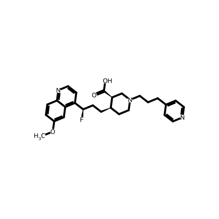 COc1ccc2nccc([C@H](F)CC[C@@H]3CCN(CCCc4ccncc4)C[C@@H]3C(=O)O)c2c1